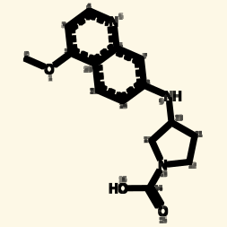 COc1ccnc2cc(NC3CCN(C(=O)O)C3)ccc12